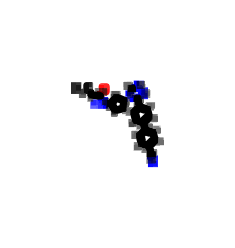 CCC(=O)NC1CC[C@@H](n2cnnc2-c2ccc(-c3ccc(C#N)cc3)cc2)C1